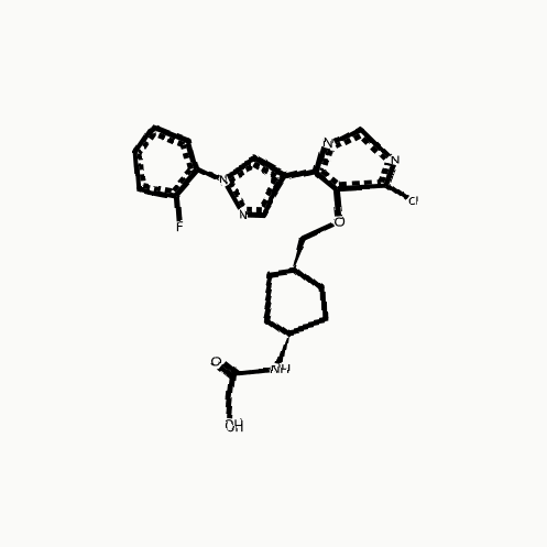 O=C(O)N[C@H]1CC[C@@H](COc2c(Cl)ncnc2-c2cnn(-c3ccccc3F)c2)CC1